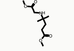 COC(=O)CCC(C)(C)NCC(=O)OC